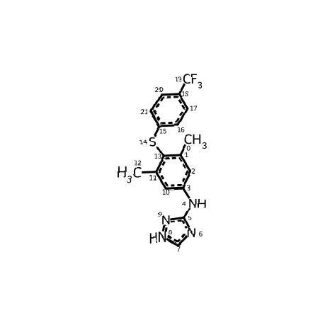 Cc1cc(Nc2nc[nH]n2)cc(C)c1Sc1ccc(C(F)(F)F)cc1